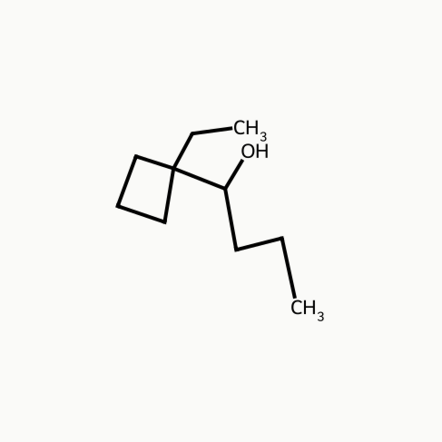 CCCC(O)C1(CC)CCC1